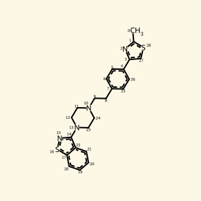 Cc1nc(-c2ccc(CCN3CCN(c4nsc5ccccc45)CC3)cc2)cs1